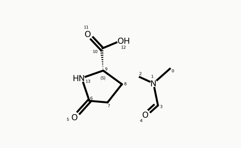 CN(C)C=O.O=C1CC[C@@H](C(=O)O)N1